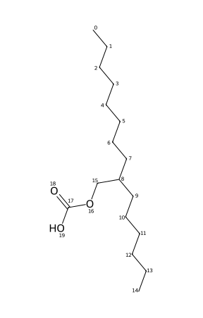 CCCCCCCCC(CCCCCC)COC(=O)O